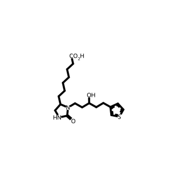 O=C(O)CCCCCCC1CNC(=O)N1CCC(O)CCc1ccsc1